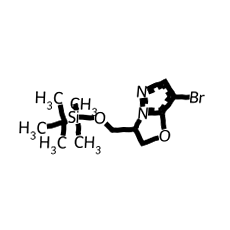 CC(C)(C)[Si](C)(C)OCC1COc2c(Br)cnn21